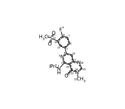 CC(C)Nc1nc(-c2ccc(F)c(S(C)(=O)=O)c2)cc2ncn(C)c(=O)c12